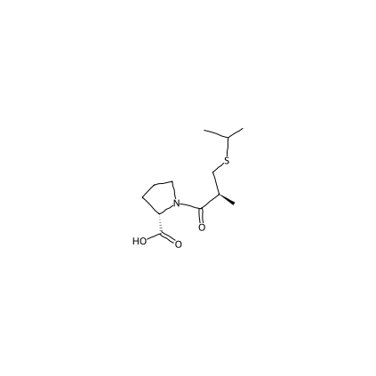 CC(C)SC[C@@H](C)C(=O)N1CCC[C@H]1C(=O)O